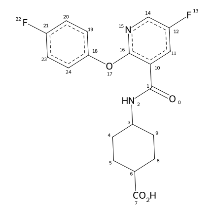 O=C(NC1CCC(C(=O)O)CC1)c1cc(F)cnc1Oc1ccc(F)cc1